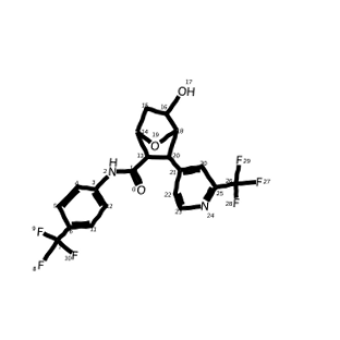 O=C(Nc1ccc(C(F)(F)F)cc1)C1C2CC(O)C(O2)C1c1ccnc(C(F)(F)F)c1